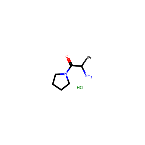 CC(C)C(N)C(=O)N1CCCC1.Cl